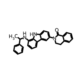 CC(Nc1cccc2c1[nH]c1ccc(N3CCc4ccccc4C3=O)cc12)c1ccccc1